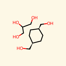 OCC(O)CO.OC[C@H]1CC[C@@H](CO)CC1